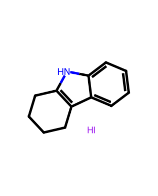 I.c1ccc2c3c([nH]c2c1)CCCC3